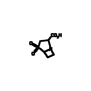 O=C(O)C1CS(=O)(=O)C2CCN12